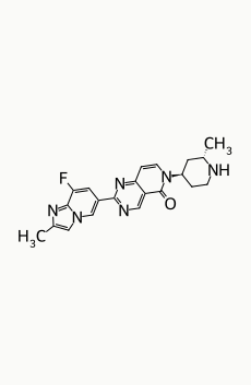 Cc1cn2cc(-c3ncc4c(=O)n([C@@H]5CCN[C@@H](C)C5)ccc4n3)cc(F)c2n1